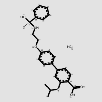 CC(C)Oc1cc(-c2ccc(OCCN[C@@](C)(O)c3ccccc3)cc2)ccc1C(=O)O.Cl